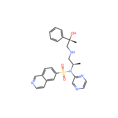 C[C@H](CNC[C@@](C)(O)c1ccccc1)N(c1cnccn1)S(=O)(=O)c1ccc2cnccc2c1